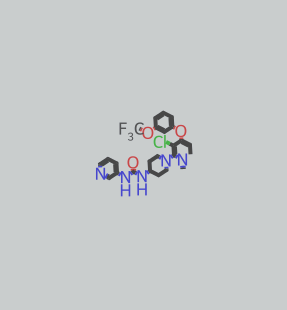 C=N/C(=C(Cl)\C(=C/C)Oc1cccc(OC(F)(F)F)c1)N1CCC(NC(=O)Nc2cccnc2)CC1